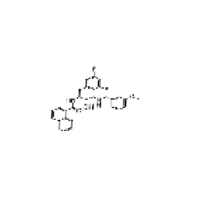 COc1cccc(CNC[C@H](O)[C@H](Cc2cc(F)cc(F)c2)NC(=O)c2cccc3ccccc23)c1